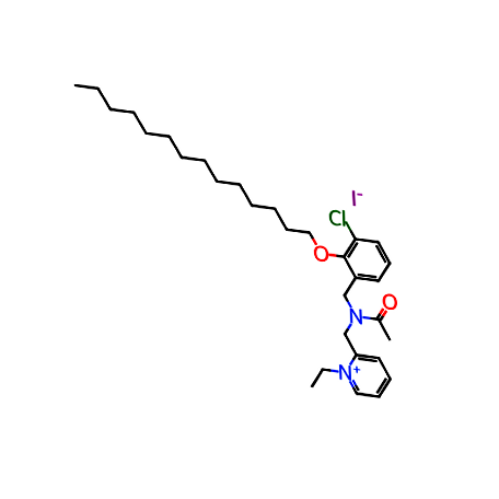 CCCCCCCCCCCCCCOc1c(Cl)cccc1CN(Cc1cccc[n+]1CC)C(C)=O.[I-]